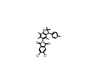 Cc1ccc(C2c3c(C)c(N4C(=O)c5cc(Cl)c(Cl)cc5C4=O)c(C)c(C)c3OC2(C)C)cc1